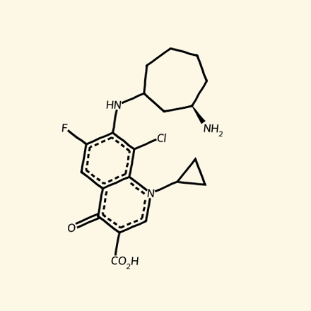 N[C@@H]1CCCCC(Nc2c(F)cc3c(=O)c(C(=O)O)cn(C4CC4)c3c2Cl)C1